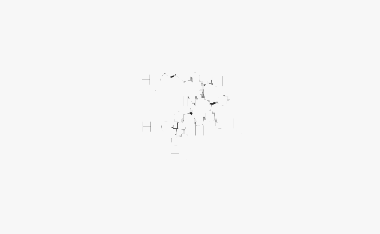 C=CCO[C@@H](C)[C@H](NC(=O)OC(C)(C)C)C(=O)OC